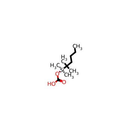 CCCCC(C)(C)[Si](C)(C)OC(=O)O